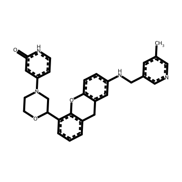 Cc1cncc(CNc2ccc3c(c2)Cc2cccc(C4CN(c5cc[nH]c(=O)c5)CCO4)c2O3)c1